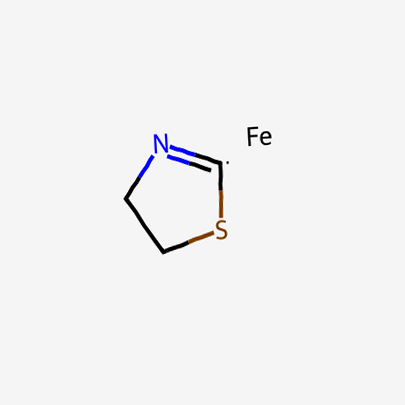 [C]1=NCCS1.[Fe]